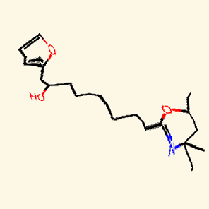 CC1CC(C)(C)N=C(CCCCCCC(O)c2ccco2)O1